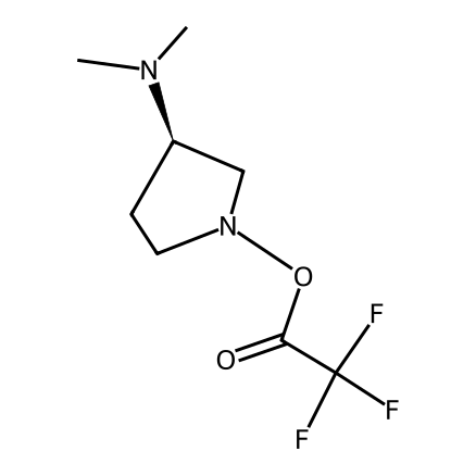 CN(C)[C@@H]1CCN(OC(=O)C(F)(F)F)C1